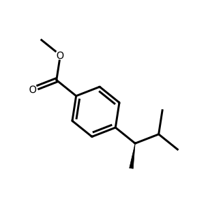 COC(=O)c1ccc([C@H](C)C(C)C)cc1